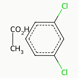 CC(=O)O.Clc1cccc(Cl)c1